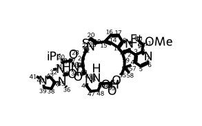 CCn1c(-c2cccnc2[C@H](C)OC)c2c3cc(ccc31)-c1csc(n1)C[C@H](NC(=O)[C@H](C(C)C)N(C)C(=O)N(C)[C@@H]1CCN(C)C1)C(=O)N1CCC[C@@](O)(N1)C(=O)OCC(C)(C)C2